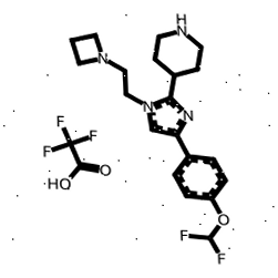 FC(F)Oc1ccc(-c2cn(CCN3CCC3)c(C3CCNCC3)n2)cc1.O=C(O)C(F)(F)F